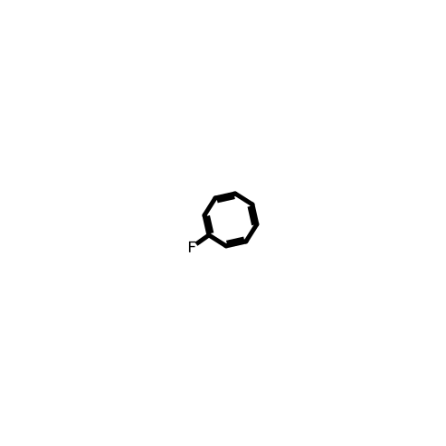 FC1=C/C=C\C=C/C=C\1